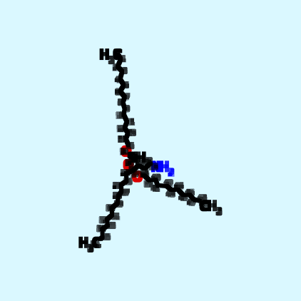 CCCCCCCCCCCCCCCCO[SiH2]OC(CCCN)(CCCCCCCCCCCCC)OCCCCCCCCCCCC